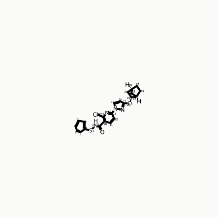 O=C(NSc1ccccc1)c1ccc(-n2ccc(O[C@H]3C[C@H]4CC[C@@H]3C4)n2)nc1Cl